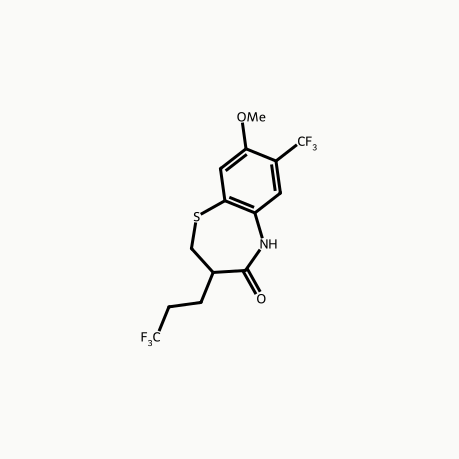 COc1cc2c(cc1C(F)(F)F)NC(=O)C(CCC(F)(F)F)CS2